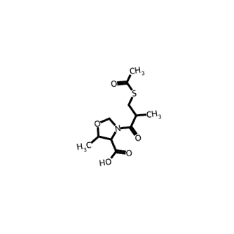 CC(=O)SCC(C)C(=O)N1COC(C)C1C(=O)O